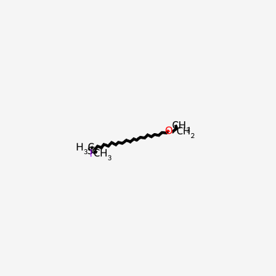 C=C(C)COCCCCCCCCCCCCCCCCCCCC[Si](C)(C)I